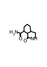 NC(=O)C1CCCC2CCNC(=O)C21